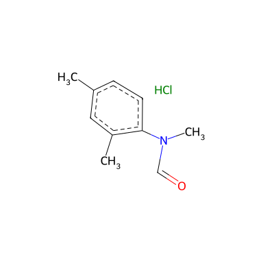 Cc1ccc(N(C)C=O)c(C)c1.Cl